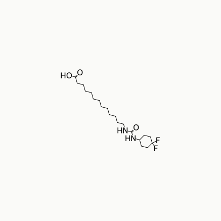 O=C(O)CCCCCCCCCCCCNC(=O)NC1CCC(F)(F)CC1